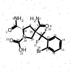 NC(=O)[C@@H]1C[C@@](C(N)=O)(C(F)(F)c2ccccc2Br)CN1C(=O)O